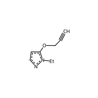 C#CCOc1c[c]nn1CC